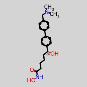 CN(C)Cc1ccc(-c2ccc([C@@H](O)CCCCC(=O)NO)cc2)cc1